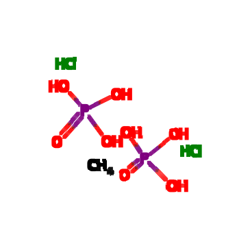 C.Cl.Cl.O=P(O)(O)O.O=P(O)(O)O